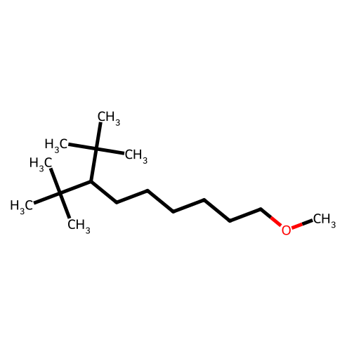 COCCCCCCC(C(C)(C)C)C(C)(C)C